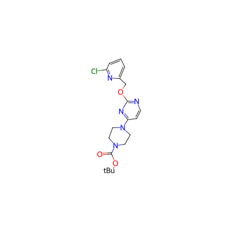 CC(C)(C)OC(=O)N1CCN(c2ccnc(OCc3cccc(Cl)n3)n2)CC1